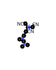 N#Cc1cccc(-c2cc(-c3ccc(-c4ccc(-n5c6ccccc6c6cc(N(c7ccccc7)c7ccccc7)ccc65)cc4)cc3C#N)nc(-c3cccc(C#N)c3)n2)c1